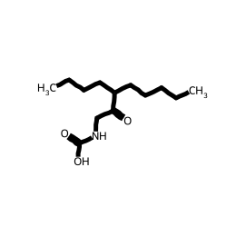 CCCCCC(CCCC)C(=O)CNC(=O)O